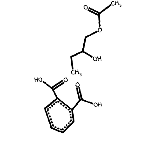 CCC(O)COC(C)=O.O=C(O)c1ccccc1C(=O)O